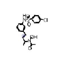 CC(=O)N(O)C(C)/C=C/c1cccc(NS(=O)(=O)c2ccc(Cl)cc2)c1